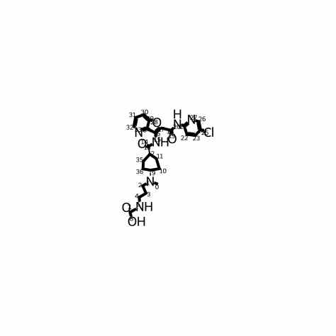 CN(CCCNC(=O)O)[C@H]1CC[C@H](C(=O)Nc2c(C(=O)Nc3ccc(Cl)cn3)oc3cccnc23)CC1